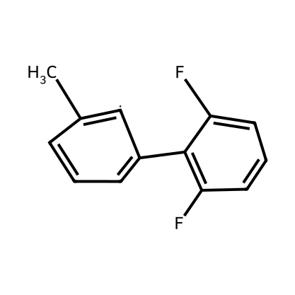 Cc1[c]c(-c2c(F)cccc2F)ccc1